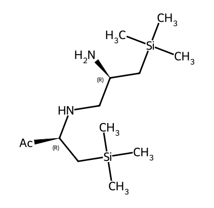 CC(=O)[C@H](C[Si](C)(C)C)NC[C@@H](N)C[Si](C)(C)C